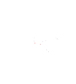 c1ccc(-c2ccc3c(c2)Oc2cc(-c4ccccc4)ccc2C32c3ccccc3-c3ccc(N(c4ccc5ccccc5c4)c4ccccc4-c4ccccc4)cc32)cc1